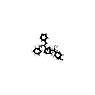 CC12C=CC(C(Cc3ccccc3)Nc3ccccc3)(C=C1C(=O)c1ccc(F)cc1)O2